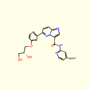 CNc1ccnc(NC(=O)c2cnc3ccc(-c4cccc(OC[C@H](O)CO)c4)nn23)c1